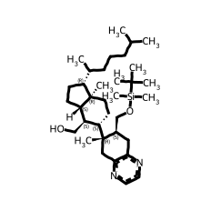 CC(C)CCCC(C)[C@H]1CC[C@H]2[C@H](CO)[C@@H]([C@@]3(C)Cc4nccnc4C[C@@H]3CO[Si](C)(C)C(C)(C)C)CC[C@]12C